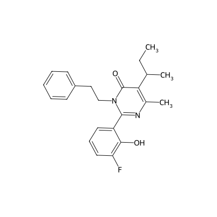 CCC(C)c1c(C)nc(-c2cccc(F)c2O)n(CCc2ccccc2)c1=O